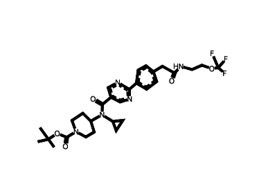 CC(C)(C)OC(=O)N1CCC(N(C(=O)c2cnc(-c3ccc(CC(=O)NCCOC(F)(F)F)cc3)nc2)C2CC2)CC1